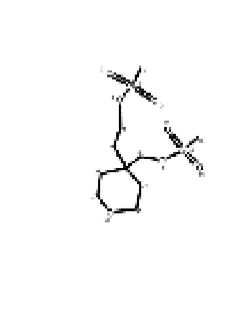 CS(=O)(=O)OCCC1(COS(C)(=O)=O)CCOCC1